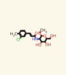 COC1OC(CO)C(O)C(O)C1NC(=O)/C=C/c1ccc(C)c(Cl)c1